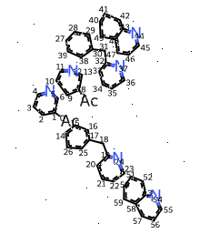 CC(=O)c1cccnc1.CC(=O)c1cccnc1.c1ccc(Cc2ccccn2)cc1.c1ccc(Cc2ccccn2)cc1.c1ccc2ncccc2c1.c1ccc2ncccc2c1